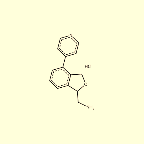 Cl.NCC1OCc2c(-c3ccncc3)cccc21